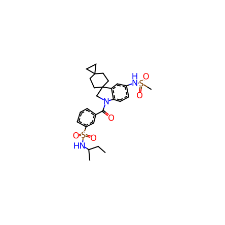 CCC(C)NS(=O)(=O)c1cccc(C(=O)N2CC3(CCC4(CC4)CC3)c3cc(NS(C)(=O)=O)ccc32)c1